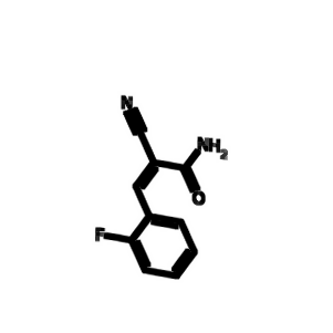 N#CC(=Cc1ccccc1F)C(N)=O